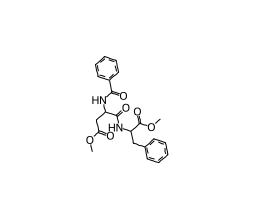 COC(=O)CC(NC(=O)c1ccccc1)C(=O)NC(Cc1ccccc1)C(=O)OC